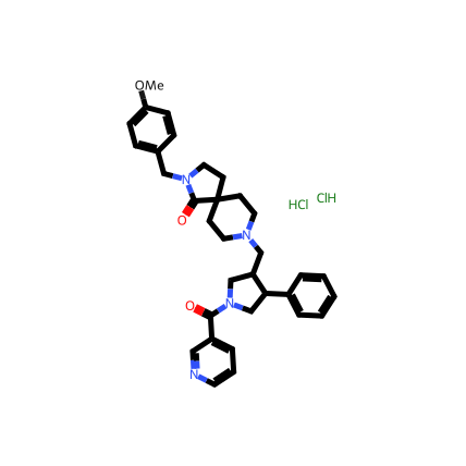 COc1ccc(CN2CCC3(CCN(CC4CN(C(=O)c5cccnc5)CC4c4ccccc4)CC3)C2=O)cc1.Cl.Cl